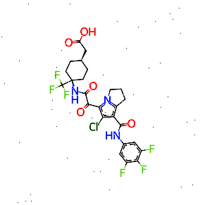 O=C(O)C[C@H]1CC[C@](NC(=O)C(=O)c2c(Cl)c(C(=O)Nc3cc(F)c(F)c(F)c3)c3n2CCC3)(C(F)(F)F)CC1